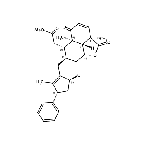 COC(=O)C[C@H]1[C@H](CC2=C(C)[C@@H](c3ccccc3)C[C@@H]2O)C[C@@H]2OC(=O)[C@]3(C)C=CC(=O)[C@@]1(C)[C@@H]23